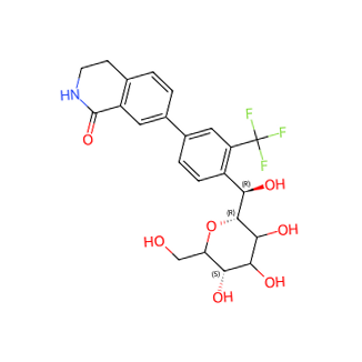 O=C1NCCc2ccc(-c3ccc([C@@H](O)[C@H]4OC(CO)[C@@H](O)C(O)C4O)c(C(F)(F)F)c3)cc21